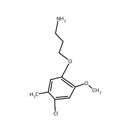 COc1cc(Cl)c(C)cc1OCCCN